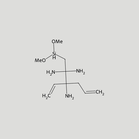 C=CCC(N)(C=C)C(N)(N)C[SiH](OC)OC